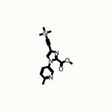 COC(=O)c1nc(C#C[Si](C)(C)C)cn1-c1ccc(C)nc1